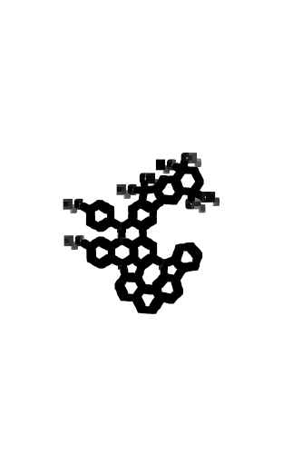 Cc1ccc(N2B3c4cc(C)ccc4-n4c5ccc6ccccc6c5c5c(-n6c7ccccc7c7ccccc76)cc(c3c54)-c3cc4c(cc32)C(C)(C)c2cc3c(cc2-4)C(C)(C)CCC3(C)C)cc1